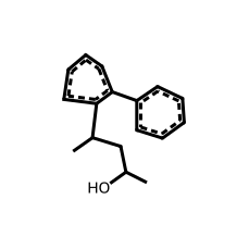 CC(O)CC(C)c1ccccc1-c1ccccc1